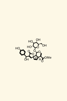 COC(=O)C1=CO[C@H](O[C@@H]2O[C@H](CO)[C@@H](O)[C@H](O)[C@H]2O)[C@H]2[C@@H]1C=C[C@@]21C=C(C(O)c2ccc(O)cc2)C(=O)O1